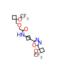 O=C(COCC1(OC(F)(F)F)CCC1)NC12CC(c3nnc(C4(OC(F)(F)F)CCC4)o3)(C1)C2